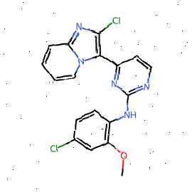 COc1cc(Cl)ccc1Nc1nccc(-c2c(Cl)nc3ccccn23)n1